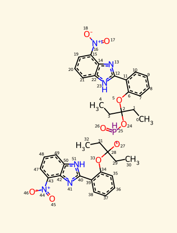 CCC(CC)(Oc1ccccc1-c1nc2c([N+](=O)[O-])cccc2[nH]1)O[PH](=O)OC(CC)(CC)Oc1ccccc1-c1nc2c([N+](=O)[O-])cccc2[nH]1